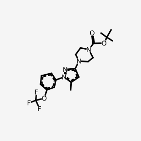 Cc1cc(N2CCN(C(=O)OC(C)(C)C)CC2)nn1-c1cccc(OC(F)(F)F)c1